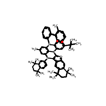 Cc1cc2c3c(c1)N(c1ccc4c(c1)C(C)(C)CCC4(C)C)c1c(oc4cc5c(cc14)C(C)(C)CCC5(C)C)B3c1cc(C(C)(C)C)ccc1N2c1ccccc1-c1ccccc1C